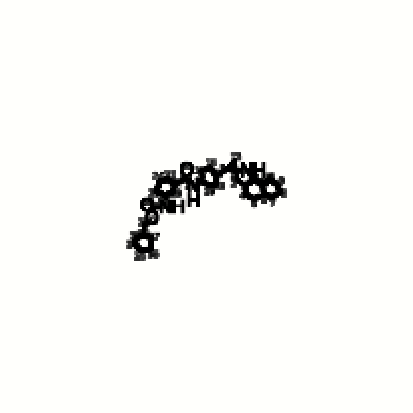 NC1(Cc2ccc3ccccc3c2)CC1c1ccc(NC(=O)c2cccc(NC(=O)OCc3ccccc3)c2)cc1